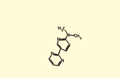 CN(C)c1ccc(-c2ncccn2)cn1